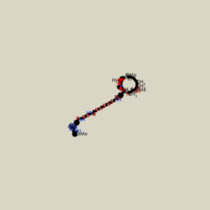 COc1cccc2cc(-c3nc([C@H]4CC[C@H](C(=O)NCCOCCOCCNC(=O)CCOCCOCCOCCOCCOCCNC(=O)O[C@H]5CC[C@H](CC[C@@H]6CC(=O)[C@H](C)/C=C(\C)[C@@H](O)[C@@H](OC)C(=O)[C@H](C)C[C@H](C)/C=C/C=C/C=C(\C)[C@@H](OC)CC7CC[C@@H](C)[C@@](O)(O7)C(=O)C(=O)N7CCCC[C@H]7C(=O)O6)CC5)CC4)n4ncnc(N)c34)[nH]c12